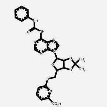 CC1(C)OC2C(COc3cccc(C(=O)O)n3)OC(n3cnc4c(NC(=O)Nc5ccccc5)ncnc43)C2O1